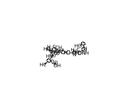 C#Cc1ccc(CNC(=O)[C@@H]2C[C@@H](O)CN2C(=O)[C@@H](NC(=O)N2CCC(N3CCC(c4cnc(N5CCC6Nc7nnc(-c8ccccc8O)cc7C6[C@H]5C)nc4)CC3)CC2)C(C)(C)C)c(OCC(=O)O)c1